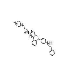 CN1CCN(CCCNc2ncc3c(n2)-c2ccccc2C(c2ccc(NCCc4ccccc4)cc2)C3)CC1